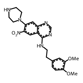 COc1ccc(CCNc2ncnc3cc(N4CCNCC4)c([N+](=O)[O-])cc23)cc1OC